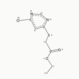 CCOC(=O)CSc1cc(Cl)ncn1